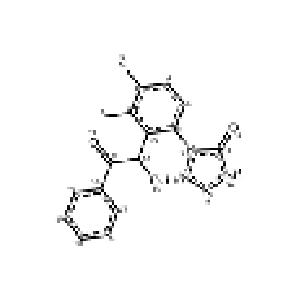 Cc1c(F)ccc(-n2nn[nH]c2=O)c1C(O)C(=O)c1ccccc1